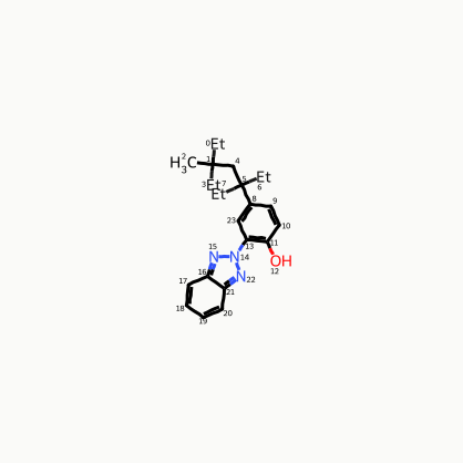 CCC(C)(CC)CC(CC)(CC)c1ccc(O)c(-n2nc3ccccc3n2)c1